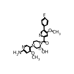 COc1cc(C(=O)N2CCN(c3cnc(N)cc3OC)C[C@H]2CO)ncc1-c1ccc(F)cc1